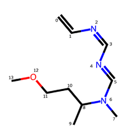 C=C/N=C\N=C\N(C)C(C)CCOC